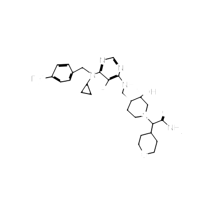 C[C@]1(O)CN(C(C(N)=O)C2CCOCC2)CC[C@H]1CNc1ncnc(N(Cc2ccc(C(F)(F)F)cc2)C2CC2)c1F